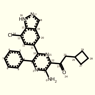 Nc1nc(-c2ccccc2)c(-c2cc(Cl)c3[nH]ncc3c2)nc1C(=O)CC1CCC1